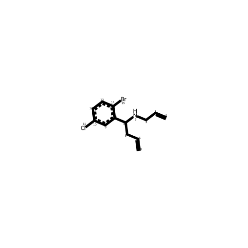 C=CCNC(CC=C)c1cc(Cl)ccc1Br